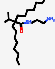 CCCCCCCCC(CCCCCCCC)(C(=O)NCCCN)C(C)C